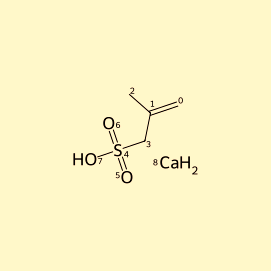 C=C(C)CS(=O)(=O)O.[CaH2]